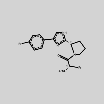 CC(=O)N[C@H](C(=O)N1CCC[C@H]1c1nc(-c2ccc(Br)cc2)c[nH]1)C(C)C